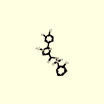 Cn1cc(C(=O)NS(=O)(=O)c2ccccc2Cl)nc1-c1ccc(Cl)c(Cl)c1